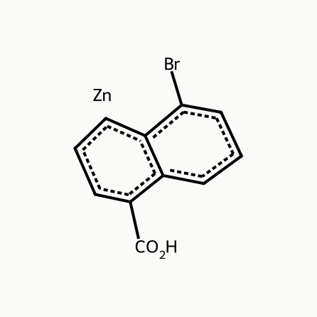 O=C(O)c1cccc2c(Br)cccc12.[Zn]